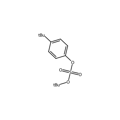 CC(C)(C)OS(=O)(=O)Oc1ccc(C(C)(C)C)cc1